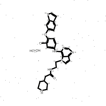 Cl.Cl.O=C(CC1CCNCC1)NCCn1ccc2ncnc(Nc3ccc(Oc4ccc5ccsc5c4)c(Cl)c3)c21